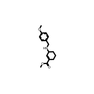 COC(=O)C1=CC(NCc2ccc(OC)cc2)CCC1